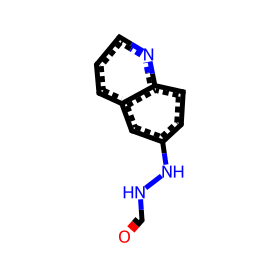 O=CNNc1ccc2ncccc2c1